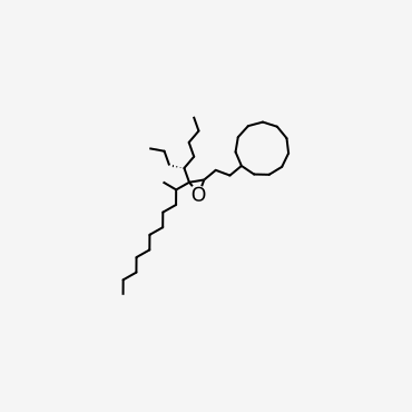 CCCCCCCCCC(C)C1([C@H](CCC)CCCC)OC1CCC1CCCCCCCCCC1